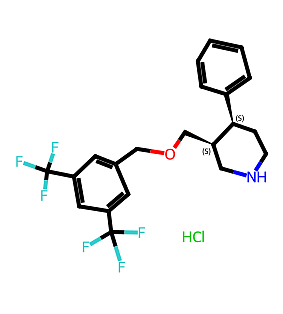 Cl.FC(F)(F)c1cc(COC[C@@H]2CNCC[C@@H]2c2ccccc2)cc(C(F)(F)F)c1